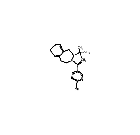 CC(C)(C)[C@@H]1CC2=CCCC=C2CCN1C(=O)c1ccc(O)nc1